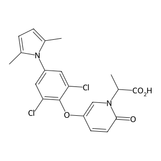 Cc1ccc(C)n1-c1cc(Cl)c(Oc2ccc(=O)n(C(C)C(=O)O)c2)c(Cl)c1